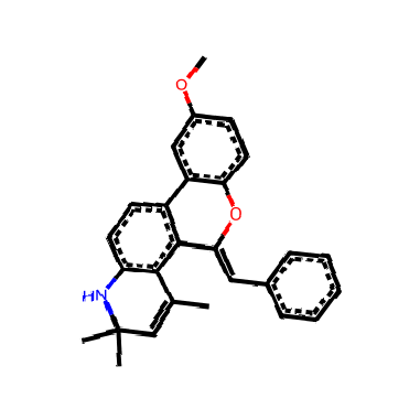 COc1ccc2c(c1)-c1ccc3c(c1C(=Cc1ccccc1)O2)C(C)=CC(C)(C)N3